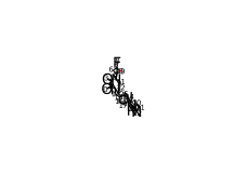 O=C1C(=O)N(C23CC(F)(C2)C3)CCN1Cc1ccc(-n2ccnn2)nc1